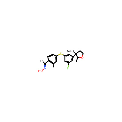 CCC(=NO)c1ccc(Sc2cc(F)cc(C3(OC)CCOC3C)c2)cc1C